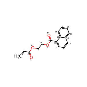 C=CC(=O)OCCOC(=O)c1cccc2ccccc12